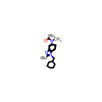 CN(C(=O)C(C)(C)C)c1ccc2c(c1)nc(C(C)(C)C)n2CC1CCCCC1